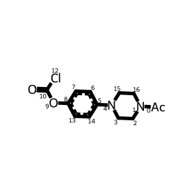 CC(=O)N1CCN(c2ccc(OC(=O)Cl)cc2)CC1